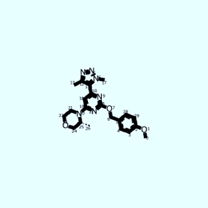 COc1ccc(COc2nc(-c3c(C)nnn3C)cc(N3CCOC[C@H]3C)n2)cc1